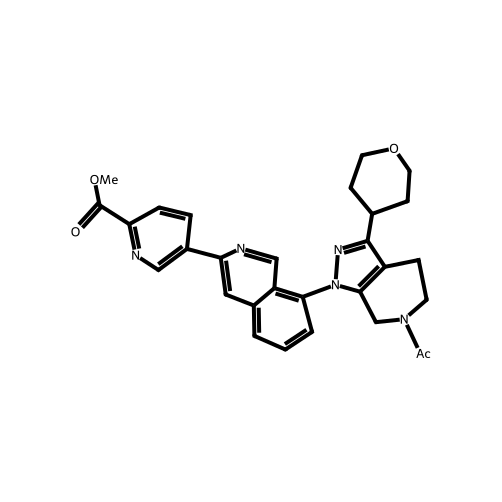 COC(=O)c1ccc(-c2cc3cccc(-n4nc(C5CCOCC5)c5c4CN(C(C)=O)CC5)c3cn2)cn1